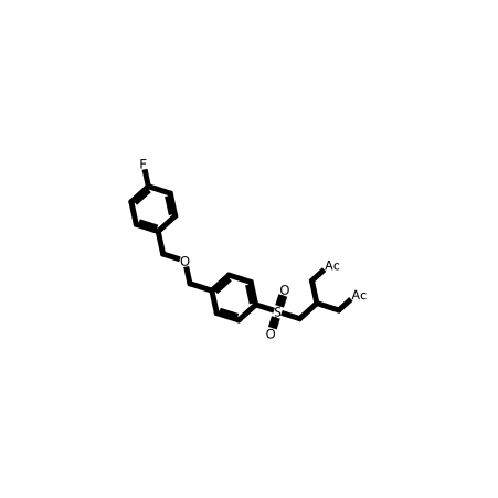 CC(=O)CC(CC(C)=O)CS(=O)(=O)c1ccc(COCc2ccc(F)cc2)cc1